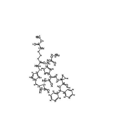 CC(C)(C)OC(=O)NCCCC(=O)NCc1cnn(C[C@@H]2NC(=O)[C@H]2NC(=O)C(=NOC2(C(=O)OC(c3ccccc3)c3ccccc3)CC2)c2csc(NC(=O)OC(C)(C)C)n2)n1